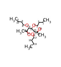 CCCCOC([C@@H](OCCCC)C(C)=O)[C@@H](OCCCC)C(C)=O